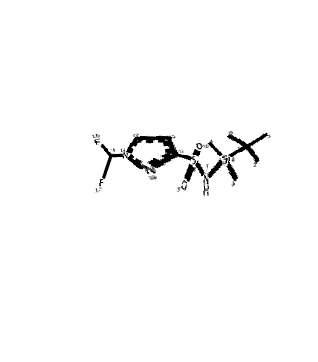 CC(C)(C)[Si](C)(C)NS(=O)(=O)c1ccn(C(F)F)n1